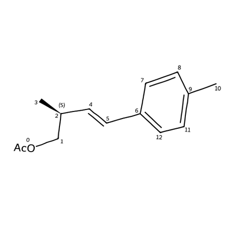 CC(=O)OC[C@@H](C)C=Cc1ccc(C)cc1